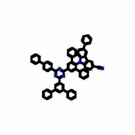 N#Cc1ccc2c(c1)c1cc(-c3ccccc3)ccc1n2-c1c(-c2ccccc2)cc(-c2nc(-c3ccc(-c4ccccc4)cc3)nc(-c3cc(-c4ccccc4)cc(-c4ccccc4)c3)n2)cc1-c1ccccc1